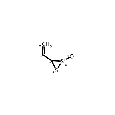 C=CC1S[S+]1[O-]